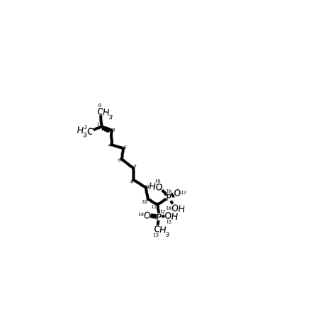 CC(C)=CCCCCCCCC(P(C)(=O)O)P(=O)(O)O